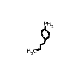 C=CCCc1ccc(P)cc1